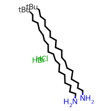 Br.CC(C)(C)CCCCCCCCCCCCCCCCCN.CC(C)(C)CCCCCCCCCCCCCCCCCN.Cl